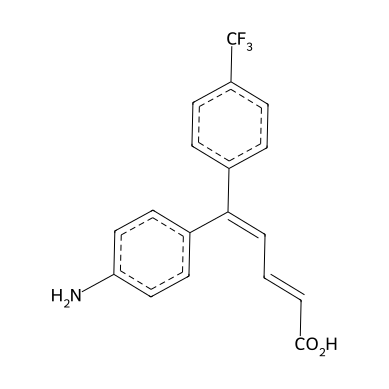 Nc1ccc(/C(=C\C=C\C(=O)O)c2ccc(C(F)(F)F)cc2)cc1